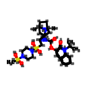 CC(C)n1c(=O)c(OC(=O)N[C@@H]2C[C@H]3CC[C@@H](C2)N3CCCS(=O)(=O)N2CCN(S(C)(=O)=O)CC2)cc2ccccc21